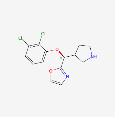 Clc1cccc(O[C@H](c2ncco2)C2CCNC2)c1Cl